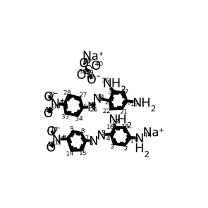 Nc1ccc(N=Nc2ccc([N+](=O)[O-])cc2)c(N)c1.Nc1ccc(N=Nc2ccc([N+](=O)[O-])cc2)c(N)c1.O=S(=O)([O-])[O-].[Na+].[Na+]